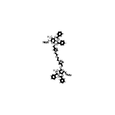 C[C@@H]1[C@@H](OCc2cn(CCOCCn3cc(CO[C@H]4O[C@H](CN=[N+]=[N-])[C@@H](C)[C@H](OC(=O)c5ccccc5)[C@@H]4OC(=O)c4ccccc4)nn3)nn2)O[C@H](CN=[N+]=[N-])[C@@H](OC(=O)c2ccccc2)[C@@H]1OC(=O)c1ccccc1